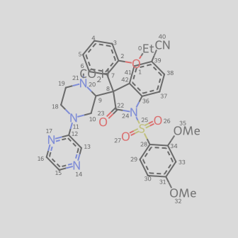 CCOc1ccccc1C1(C2CN(c3cnccn3)CCN2C(=O)O)C(=O)N(S(=O)(=O)c2ccc(OC)cc2OC)c2ccc(C#N)cc21